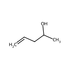 C=CC[C](C)O